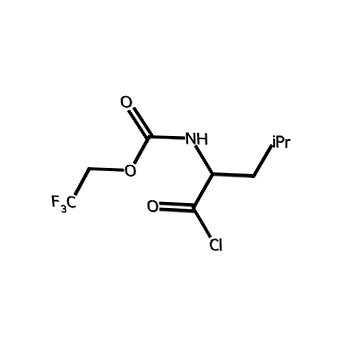 CC(C)CC(NC(=O)OCC(F)(F)F)C(=O)Cl